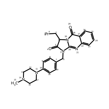 CC(C)CC1C(=O)N(Cc2ccc(N3CCN(C)CC3)cc2)c2nc3ccccc3c(=O)n21